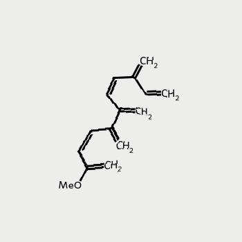 C=CC(=C)/C=C\C(=C)C(=C)/C=C\C(=C)OC